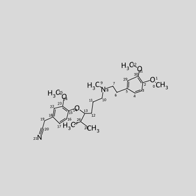 COc1ccc(CCN(C)CCCC(Oc2ccc(CC#N)cc2OC)C(C)C)cc1OC